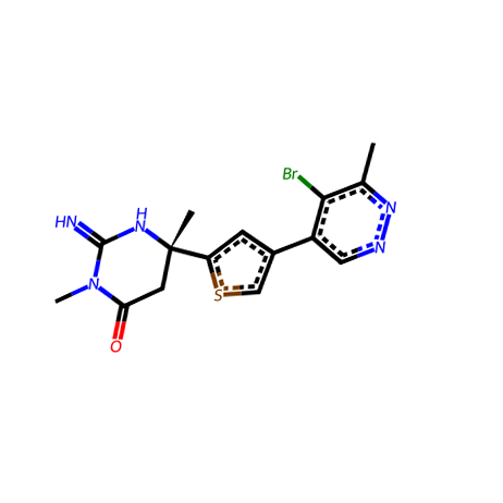 Cc1nncc(-c2csc([C@]3(C)CC(=O)N(C)C(=N)N3)c2)c1Br